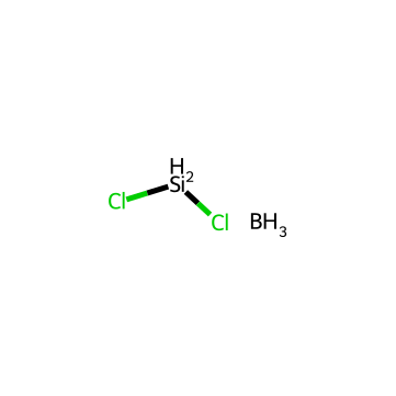 B.Cl[SiH2]Cl